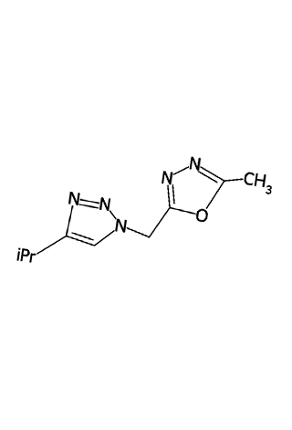 Cc1nnc(Cn2cc(C(C)C)nn2)o1